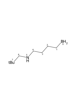 BCCCCNCC(C)(C)C